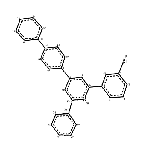 Brc1cccc(-c2cc(-c3ccc(-c4ccccc4)cc3)cc(-c3ccccc3)n2)c1